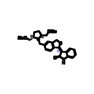 COC[C@@H]1CC[C@@H](COC)N1Cc1ccc2c(c1)CO/C2=C1/C(=O)Nc2ccccc21